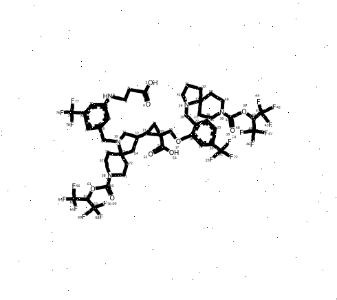 O=C(O)CCNc1cc(CN2CC(C3CC3(COc3cc(C(F)(F)F)ccc3CN3CCCC34CCN(C(=O)OC(C(F)(F)F)C(F)(F)F)CC4)C(=O)O)CC23CCN(C(=O)OC(C(F)(F)F)C(F)(F)F)CC3)cc(C(F)(F)F)c1